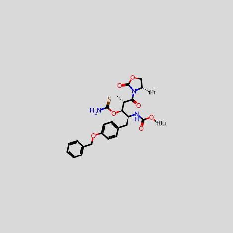 CC(C)[C@H]1COC(=O)N1C(=O)[C@@H](C)[C@H](OC(N)=S)[C@H](Cc1ccc(OCc2ccccc2)cc1)NC(=O)OC(C)(C)C